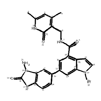 Cc1cc(C)c(CNC(=O)c2cc(-c3ccc4[nH]c(=O)n(N)c4c3)cc3c2ccn3C(C)C)c(=O)[nH]1